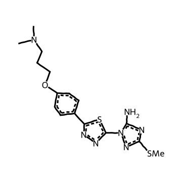 CSc1nc(N)n(-c2nnc(-c3ccc(OCCCN(C)C)cc3)s2)n1